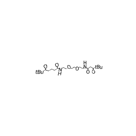 CC(C)(C)C(=O)CCCC(=O)NCCOCCOCCNC(=O)CC(=O)C(C)(C)C